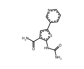 NC(=O)Nc1sc(-c2cccnc2)cc1C(N)=O